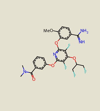 COc1ccc(C(=N)N)cc1Oc1nc(Oc2cccc(C(=O)N(C)C)c2)c(F)c(OC(CF)CF)c1F